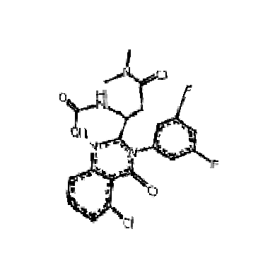 CN(C)C(=O)CC(NC(=O)O)c1nc2cccc(Cl)c2c(=O)n1-c1cc(F)cc(F)c1